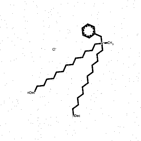 CCCCCCCCCCCCCCCCCCCCCCC[N+](C)(CCCCCCCCCCCCCCCCCCCCCC)Cc1ccccc1.[Cl-]